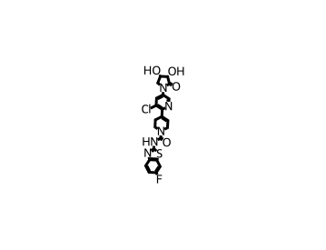 O=C(Nc1nc2ccc(F)cc2s1)N1CC=C(c2ncc(N3C[C@@H](O)[C@@H](O)C3=O)cc2Cl)CC1